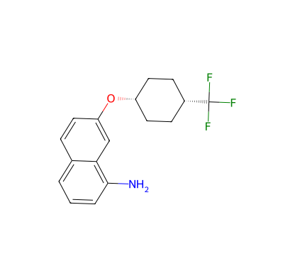 Nc1cccc2ccc(O[C@H]3CC[C@@H](C(F)(F)F)CC3)cc12